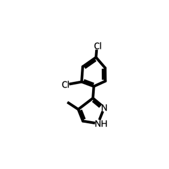 Cc1c[nH]nc1-c1ccc(Cl)cc1Cl